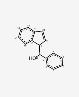 OC(c1ccccc1)C1C=Cc2ccccc21